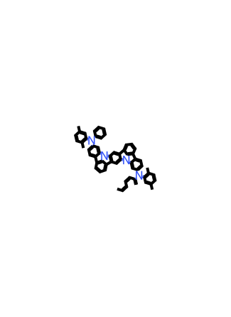 C=C(/C=C\C=C/C)N(c1ccc2c3cccc4c5cc6c(cc5n(c2c1)c34)c1cccc2c3ccc(N(c4ccccc4)c4cc(C)ccc4C)cc3n6c21)c1cc(C)ccc1C